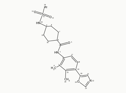 Cc1c(NC(=O)C2CCC(NS(=O)(=O)C(C)C)CC2)ccc(-c2cnco2)c1C